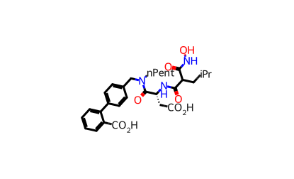 CCCCCN(Cc1ccc(-c2ccccc2C(=O)O)cc1)C(=O)[C@@H](CC(=O)O)NC(=O)C(CC(C)C)C(=O)NO